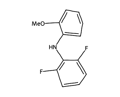 COc1ccccc1Nc1c(F)cccc1F